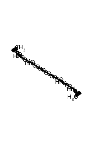 CN1CC(C2CCC(SNCCOCCOCCOCCNC(=O)CCOCCOCCOCCOCCOCCOCCOCCOCCOCCC(=O)NCCOCCOCCOCCNS(=O)(=O)C3CCC(C4CN(C)CC5C6CC(CC45)O6)CC3)CC2)C2CC3CC(O3)C2C1